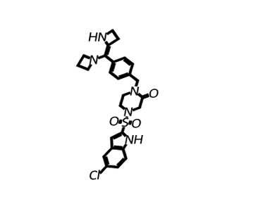 O=C1CN(S(=O)(=O)c2cc3cc(Cl)ccc3[nH]2)CCN1Cc1ccc(C(=C2CCN2)N2CCC2)cc1